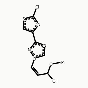 CC(C)OC(O)/C=C\n1cnc(-c2csc(Cl)n2)n1